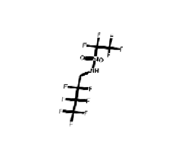 O=S(=O)(NCC(F)(F)C(F)(F)C(F)(F)F)C(F)(F)C(F)(F)F